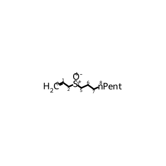 C=CC[S+]([O-])CCCCCCCC